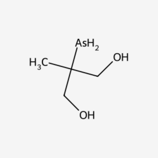 CC([AsH2])(CO)CO